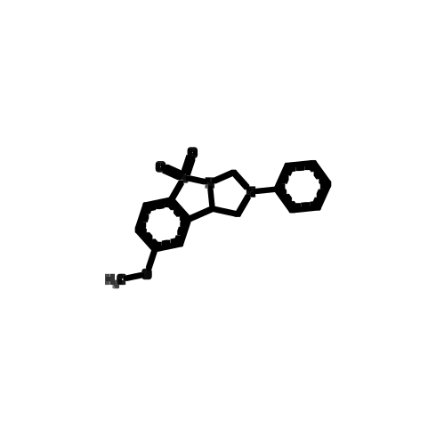 COc1ccc2c(c1)C1CN(c3ccccc3)CN1S2(=O)=O